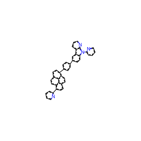 c1ccc(-c2ccc3ccc4c(-c5ccc(-c6ccc7c(c6)c6cccnc6n7-c6ccccn6)cc5)ccc5ccc2c3c54)nc1